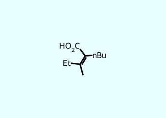 CCCCC(C(=O)O)=C(C)CC